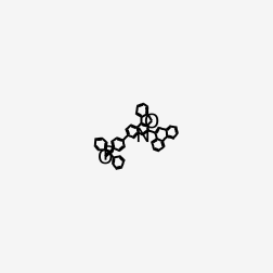 O=P(c1ccccc1)(c1ccccc1)c1ccc(-c2ccc3c(c2)nc(-c2cc4ccccc4c4ccccc24)c2oc4ccccc4c23)cc1